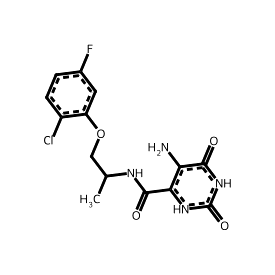 CC(COc1cc(F)ccc1Cl)NC(=O)c1[nH]c(=O)[nH]c(=O)c1N